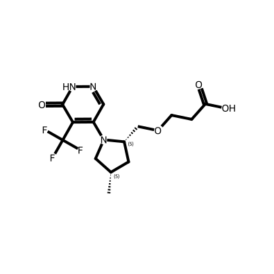 C[C@H]1C[C@@H](COCCC(=O)O)N(c2cn[nH]c(=O)c2C(F)(F)F)C1